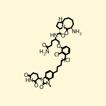 Cl.Cn1c(=O)n(C2CCC(=O)NC2=O)c2ccc(CCCCCc3cccc(OCC(CCC(N)=O)NC(=O)[C@@H]4CC[C@@H]5CCCC[C@H](N)C(=O)N54)c3Cl)cc21